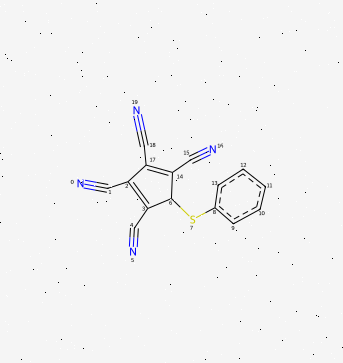 N#CC1=C(C#N)C(Sc2ccccc2)C(C#N)=C1C#N